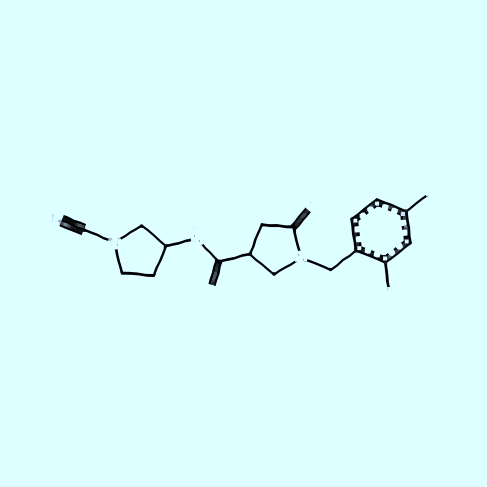 N#CN1CCC(NC(=O)C2CC(=O)N(Cc3ccc(F)cc3F)C2)C1